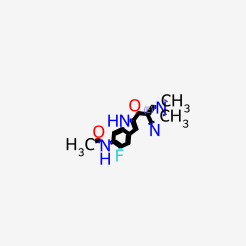 CC(=O)Nc1cc2[nH]c(C(=O)/C(C#N)=C/N(C)C)cc2cc1F